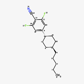 CCCCC[C@H]1CC[C@H](c2cc(F)c(C#N)c(F)c2)CC1